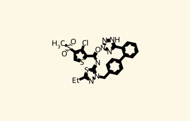 CCc1nn(Cc2ccc(-c3ccccc3-c3nnn[nH]3)cc2)c(=NC(=O)c2scc(S(C)(=O)=O)c2Cl)s1